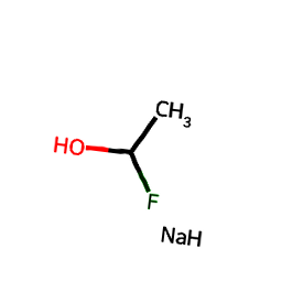 CC(O)F.[NaH]